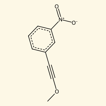 COC#Cc1cccc([N+](=O)[O-])c1